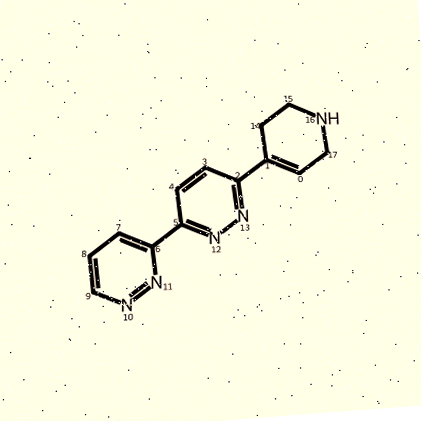 C1=C(c2ccc(-c3cccnn3)nn2)CCNC1